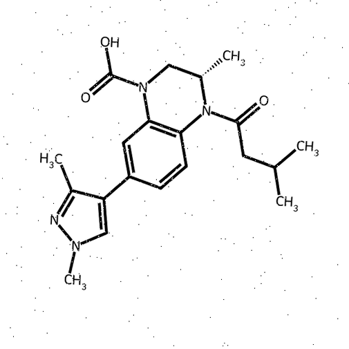 Cc1nn(C)cc1-c1ccc2c(c1)N(C(=O)O)C[C@H](C)N2C(=O)CC(C)C